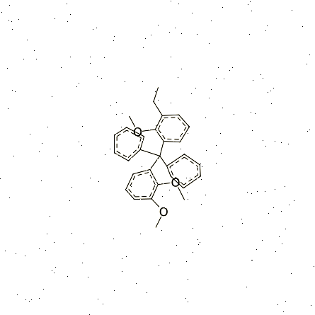 CCc1cccc(C(c2ccccc2)(c2ccccc2)c2cccc(OC)c2OC)c1OC